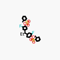 CCC(c1ccc(OS(=O)(=O)c2ccccc2C)c(F)c1)c1ccc(OS(=O)(=O)c2ccccc2C)c(F)c1